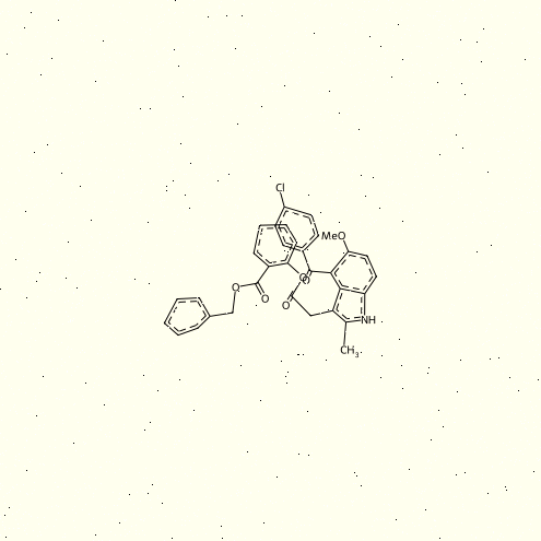 COc1ccc2[nH]c(C)c(CC(=O)Oc3ccccc3C(=O)OCc3ccccc3)c2c1C(=O)c1ccc(Cl)cc1